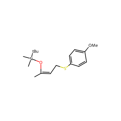 COc1ccc(SC/C=C(/C)O[Si](C)(C)C(C)(C)C)cc1